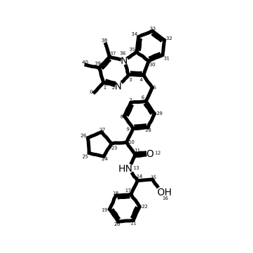 Cc1nc2c(Cc3ccc(C(C(=O)NC(CO)c4ccccc4)C4CCCC4)cc3)c3ccccc3n2c(C)c1C